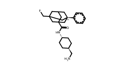 NC[C@H]1CC[C@H](NC(=O)C23CC4CC(CF)(C2)C[C@](c2ccccc2)(C4)C3)CC1